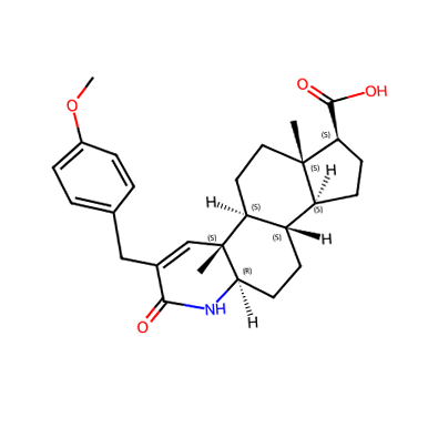 COc1ccc(CC2=C[C@@]3(C)[C@@H](CC[C@@H]4[C@@H]3CC[C@]3(C)[C@@H](C(=O)O)CC[C@@H]43)NC2=O)cc1